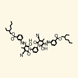 CCCCC(CC)COC(=O)c1cccc(/N=N/c2c(C)c(C#N)c(=O)n(-c3cccc(-n4c(O)c(/N=N/c5cccc(C(=O)OCC(CC)CCCC)c5)c(C)c(C#N)c4=O)c3)c2O)c1